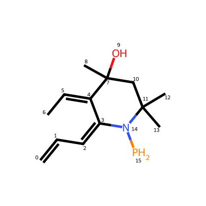 C=C/C=C1\C(=C/C)C(C)(O)CC(C)(C)N1P